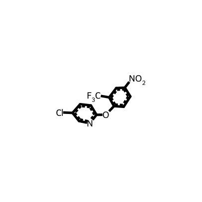 O=[N+]([O-])c1ccc(Oc2ccc(Cl)cn2)c(C(F)(F)F)c1